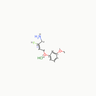 COc1cccc(OC/C=C(/F)CN)c1.Cl